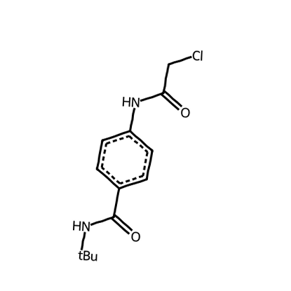 CC(C)(C)NC(=O)c1ccc(NC(=O)CCl)cc1